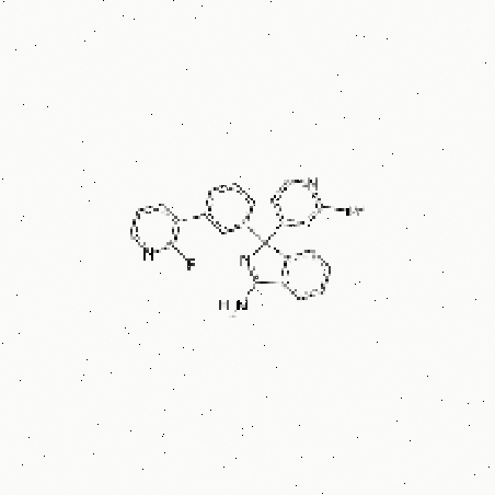 CC(C)c1cc(C2(c3cccc(-c4cccnc4F)c3)N=C(N)c3ccccc32)ccn1